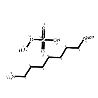 CCCCCCCCCCCCCCCCN.COS(=O)(=O)O